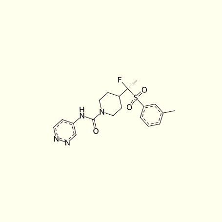 Cc1cccc(S(=O)(=O)[C@](C)(F)C2CCN(C(=O)Nc3ccnnc3)CC2)c1